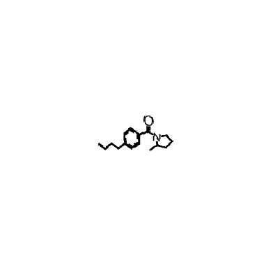 CCCCc1ccc(C(=O)N2CCCC2C)cc1